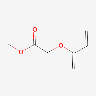 C=CC(=C)OCC(=O)OC